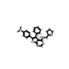 CN(C)c1ccc(-c2oc3ncnc(NCC4CCCO4)c3c2-c2ccccc2)cc1